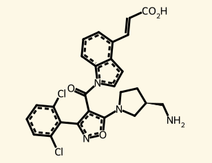 NC[C@@H]1CCN(c2onc(-c3c(Cl)cccc3Cl)c2C(=O)n2ccc3c(/C=C/C(=O)O)cccc32)C1